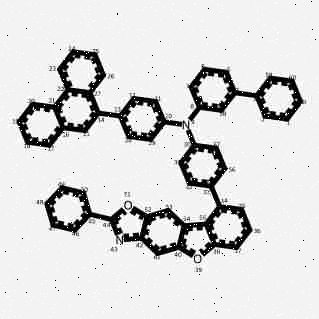 c1ccc(-c2cccc(N(c3ccc(-c4cc5ccccc5c5ccccc45)cc3)c3ccc(-c4cccc5oc6cc7nc(-c8ccccc8)oc7cc6c45)cc3)c2)cc1